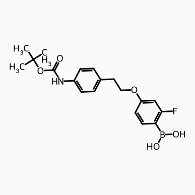 CC(C)(C)OC(=O)Nc1ccc(CCOc2ccc(B(O)O)c(F)c2)cc1